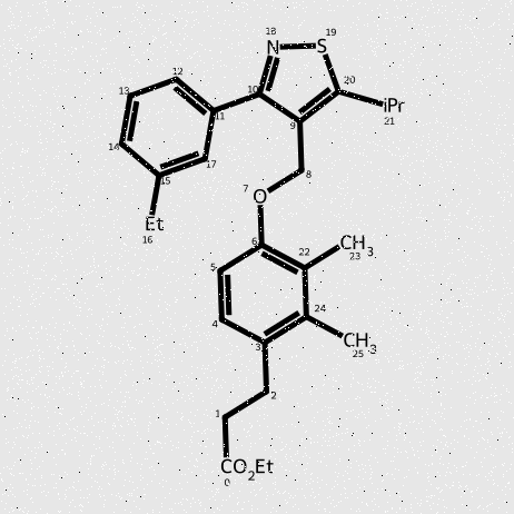 CCOC(=O)CCc1ccc(OCc2c(-c3cccc(CC)c3)nsc2C(C)C)c(C)c1C